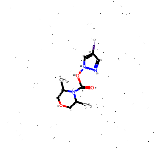 CC1COCC(C)N1C(=O)On1cc(I)cn1